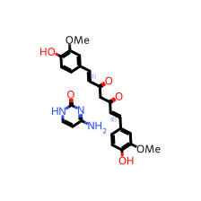 COc1cc(/C=C/C(=O)CC(=O)/C=C/c2ccc(O)c(OC)c2)ccc1O.Nc1cc[nH]c(=O)n1